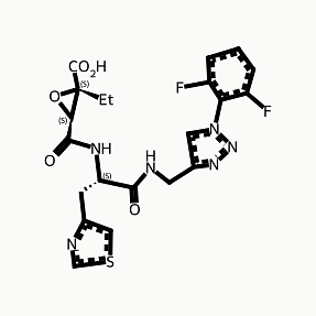 CC[C@]1(C(=O)O)O[C@@H]1C(=O)N[C@@H](Cc1cscn1)C(=O)NCc1cn(-c2c(F)cccc2F)nn1